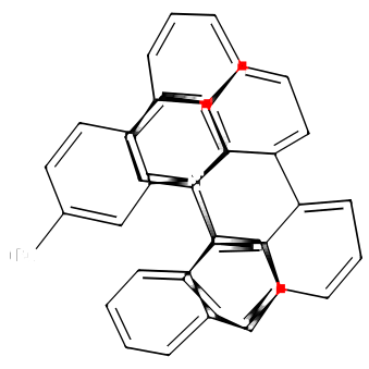 CC(C)(C)c1ccc(-c2ccccc2)c(N(c2ccccc2-c2cccc3cccc(-c4ccccc4)c23)c2cccc3ccccc23)c1